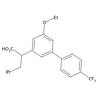 CCOc1cc(-c2ccc(C(F)(F)F)cc2)cc(C(CC(C)C)C(=O)O)c1